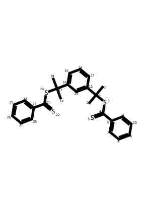 CC(C)(SC(=S)c1ccccc1)c1cccc(C(C)(C)SC(=S)c2ccccc2)c1